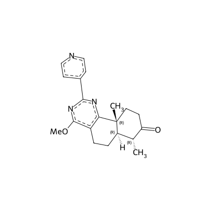 COc1nc(-c2ccncc2)nc2c1CC[C@@H]1[C@@H](C)C(=O)CC[C@@]21C